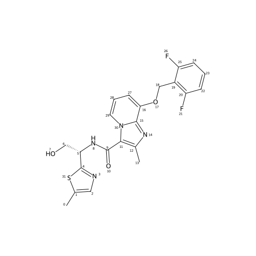 Cc1cnc([C@H](CO)NC(=O)c2c(C)nc3c(OCc4c(F)cccc4F)cccn23)s1